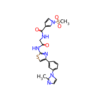 Cc1nccn1-c1cccc(-c2csc(NC(=O)CNC(=O)c3ccn(S(C)(=O)=O)c3)n2)c1